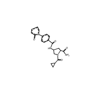 NC(=O)C1[CH]C(NC(=O)c2ccc(-n3ccccc3=O)cc2)CN1C(=O)C1CC1